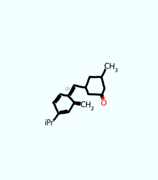 C=c1cc(C(C)C)cc/c1=C/C1CC(=O)CC(C)C1